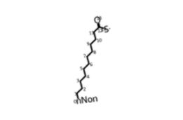 CCCCCCCCCCCCCCCCCCCCC(=O)[S]